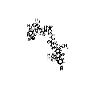 CCc1cc2c(cc1N1CCN(C(=O)CCCN3C[C@H](NC(=O)[C@H](CCOc4cccnc4[N+](=O)[O-])NC(=O)OC(C)(C)C)C4(CC4)C3)CC1)C(C)(C)c1[nH]c3cc(C#N)ccc3c1C2=O